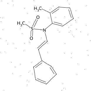 Cc1ccccc1N(C=Cc1ccccc1)S(C)(=O)=O